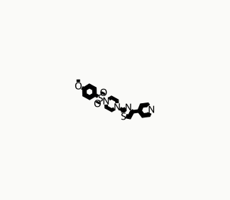 COc1ccc(S(=O)(=O)N2CCN(c3nc(-c4ccncc4)cs3)CC2)cc1